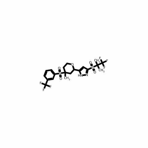 CC1(S(=O)(=O)c2cccc(C(F)(F)F)c2)CCOC(c2cc(S(=O)(=O)C(C)(C)C(F)(F)F)n[nH]2)C1